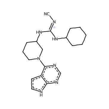 N#C/N=C(/NC1CCCCC1)NC1CCCN(c2ncnc3[nH]ccc23)C1